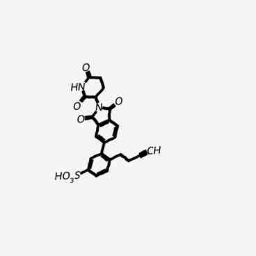 C#CCCc1ccc(S(=O)(=O)O)cc1-c1ccc2c(c1)C(=O)N(C1CCC(=O)NC1=O)C2=O